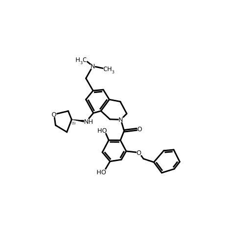 CN(C)Cc1cc2c(c(N[C@H]3CCOC3)c1)CN(C(=O)c1c(O)cc(O)cc1OCc1ccccc1)CC2